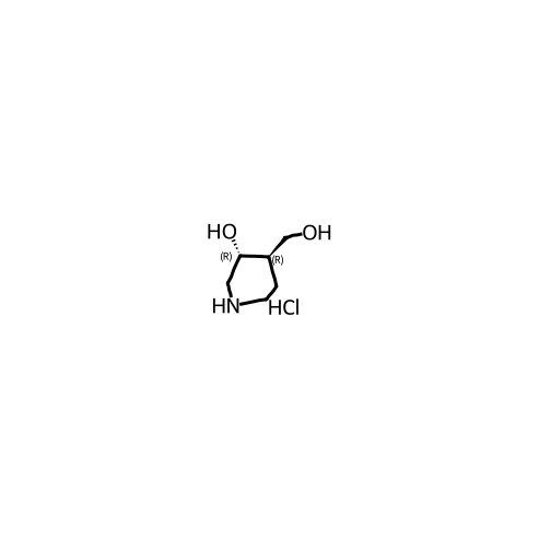 Cl.OC[C@H]1CCNC[C@@H]1O